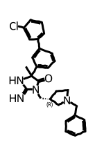 CC1(c2cccc(-c3cccc(Cl)c3)c2)NC(=N)N(C[C@@H]2CCN(Cc3ccccc3)C2)C1=O